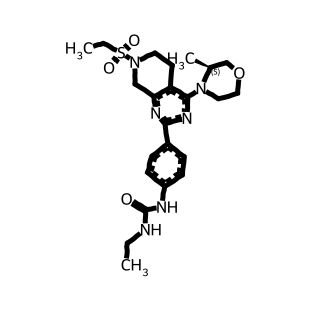 CCNC(=O)Nc1ccc(-c2nc3c(c(N4CCOC[C@@H]4C)n2)CCN(S(=O)(=O)CC)C3)cc1